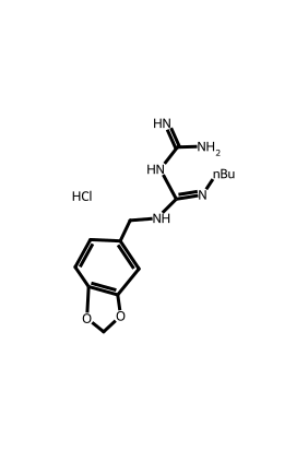 CCCCN=C(NCc1ccc2c(c1)OCO2)NC(=N)N.Cl